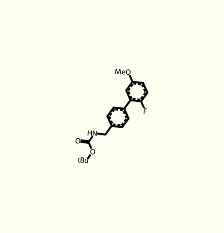 COc1ccc(F)c(-c2ccc(CNC(=O)OC(C)(C)C)cc2)c1